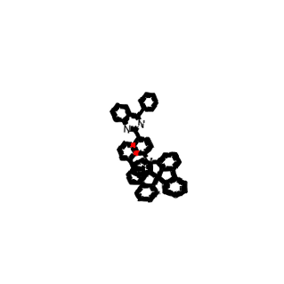 c1ccc(-c2ccccc2N(c2ccc(-c3nc(-c4ccccc4)c4ccccc4n3)cc2)c2cccc3c2C2(c4ccccc4-c4ccccc42)c2ccccc2-3)cc1